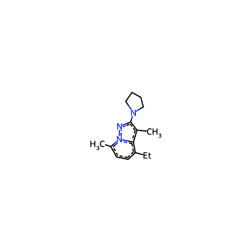 CCc1ccc(C)n2nc(N3CCCC3)c(C)c12